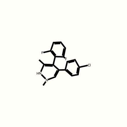 CC1=C(c2c(F)cccc2F)C(c2ccc(Cl)cc2)=CN(C)N1